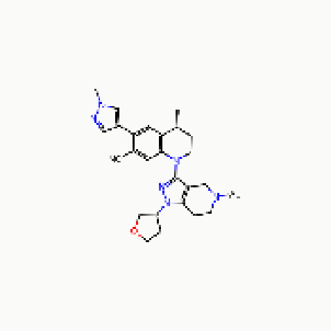 CC(=O)N1CCc2c(c(N3CC[C@H](C)c4cc(-c5cnn(C)c5)c(C#N)cc43)nn2C2CCOC2)C1